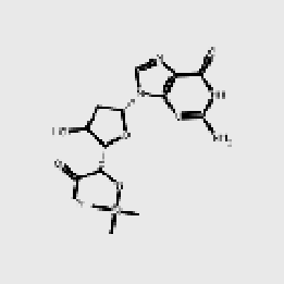 CC(C)C(=O)C(O[Si](C)(C)C)[C@H]1O[C@@H](n2cnc3c(=O)[nH]c(N)nc32)C[C@@H]1O